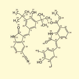 CC(C)(C)c1cc(C=C2C(=O)Nc3ccc(C#N)cc32)cc(C(C)(C)C)c1O.COC(=O)c1cccc2c1NC(=O)C2=Cc1cc(I)c(O)c(I)c1